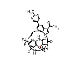 CC(=O)c1cn2c3c(cc(-c4cnc(C)nc4)cc13)C/C=C/CCCC(=O)NC[C@@]13C[C@@H](C(=O)Nc4nc(C(F)(F)F)ccc4C)N(C(=O)C2)[C@@H]1C3